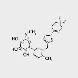 CS[C@H]1OC(c2ccc(C)c(Cc3ccc(C4=CCC(F)(F)CC4)s3)c2)[C@H](O)[C@@H](O)[C@@H]1O